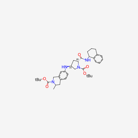 CC1Cc2ccc(N[C@H]3C[C@H](C(=O)NC4CCCc5ccccc54)N(C(=O)OC(C)(C)C)C3)cc2CN1C(=O)OC(C)(C)C